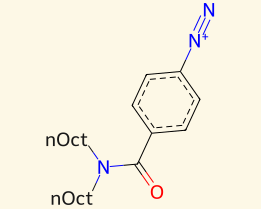 CCCCCCCCN(CCCCCCCC)C(=O)c1ccc([N+]#N)cc1